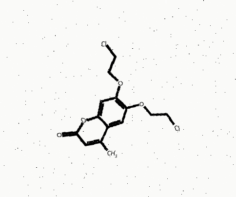 Cc1cc(=O)oc2cc(OCCCl)c(OCCCl)cc12